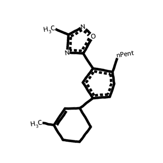 CCCCCc1ccc(C2C=C(C)CCC2)cc1-c1nc(C)no1